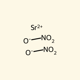 O=[N+]([O-])[O-].O=[N+]([O-])[O-].[Sr+2]